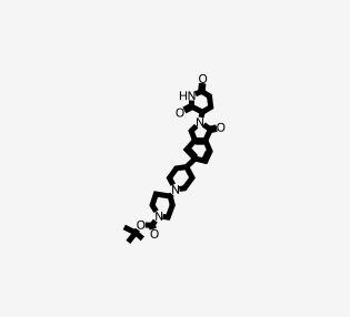 CC(C)(C)OC(=O)N1CCC(N2CCC(c3ccc4c(c3)CN(C3CCC(=O)NC3=O)C4=O)CC2)CC1